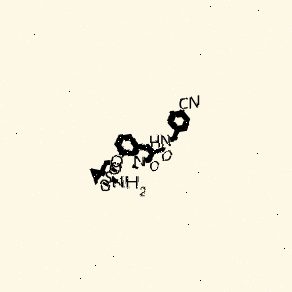 Cn1c(=O)c(C(=O)NCc2ccc(C#N)cc2)cc2cccc(OCC3(S(N)(=O)=O)CC3)c21